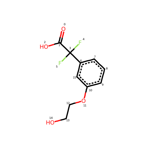 O=C(O)C(F)(F)c1cccc(OCCO)c1